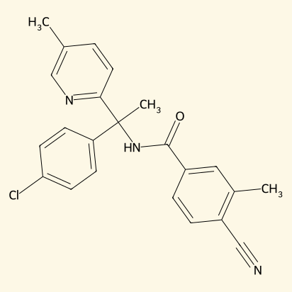 Cc1ccc(C(C)(NC(=O)c2ccc(C#N)c(C)c2)c2ccc(Cl)cc2)nc1